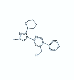 Cc1cc(-c2cc(CC(C)C)c(-c3ccccc3)cn2)n(C2CCCCO2)n1